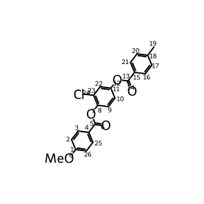 COc1ccc(C(=O)Oc2ccc(OC(=O)c3ccc(C)cc3)cc2Cl)cc1